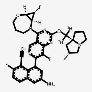 [2H]C([2H])(Oc1nc(N2CCCO[C@H]3[C@H](F)[C@H]32)c2cnc(-c3cc(N)cc4ccc(F)c(C#C)c34)c(F)c2n1)[C@@]12CCCN1C[C@H](F)C2